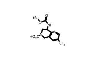 CC(C)(C)OC(=O)NC1CN(C(=O)O)Cc2cc(C(F)(F)F)cnc21